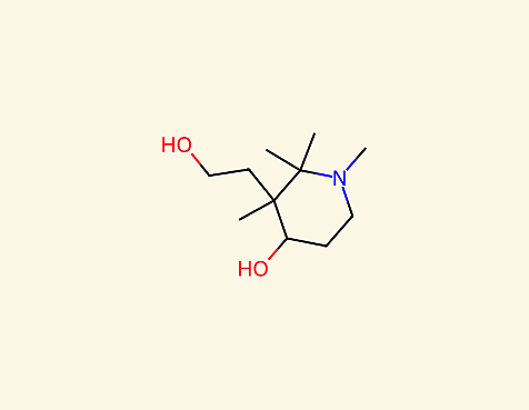 CN1CCC(O)C(C)(CCO)C1(C)C